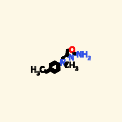 CCc1ccc(N(C)C[C@H]2COC(N)=N2)cc1